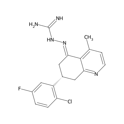 Cc1ccnc2c1C(=NNC(=N)N)C[C@@H](c1cc(F)ccc1Cl)C2